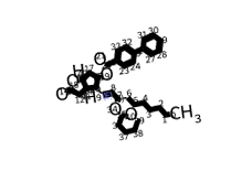 CCCCCCC[C@@H](/C=C/[C@@H]1[C@H]2CC(=O)O[C@H]2C[C@H]1OC(=O)c1ccc(-c2ccccc2)cc1)OC1CCCCO1